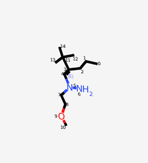 CCC/C(=C\N(N)CCOC)C(C)(C)C